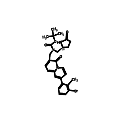 Cc1c(Br)cccc1-c1ccn2c(=O)c(CN(C[C@@H]3CCC(=O)N3)C(=O)OC(C)(C)C)ccc2c1